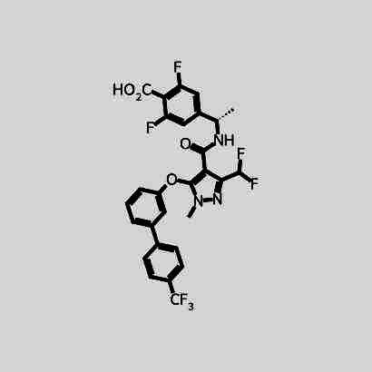 C[C@H](NC(=O)c1c(C(F)F)nn(C)c1Oc1cccc(-c2ccc(C(F)(F)F)cc2)c1)c1cc(F)c(C(=O)O)c(F)c1